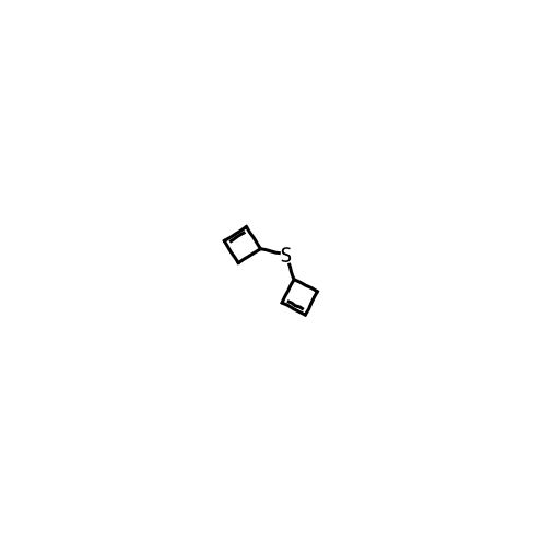 C1=CC(SC2C=CC2)C1